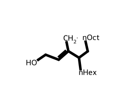 [CH2]C(=CCO)C(CCCCCC)CCCCCCCCC